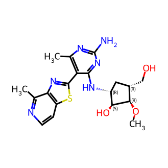 CO[C@@H]1[C@@H](CO)C[C@@H](Nc2nc(N)nc(C)c2-c2nc3c(C)nccc3s2)[C@@H]1O